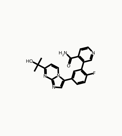 CC(C)(O)c1ccn2c(-c3ccc(F)c(-c4cnccc4C(N)=O)c3)cnc2n1